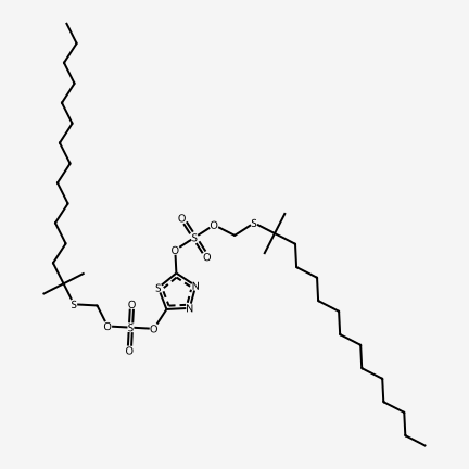 CCCCCCCCCCCCCC(C)(C)SCOS(=O)(=O)Oc1nnc(OS(=O)(=O)OCSC(C)(C)CCCCCCCCCCCCC)s1